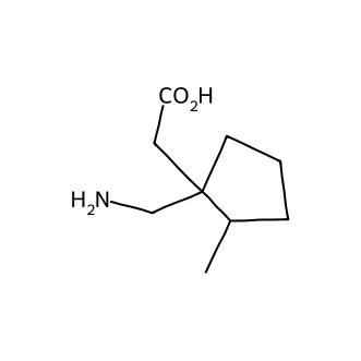 CC1CCCC1(CN)CC(=O)O